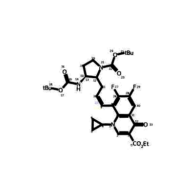 CCOC(=O)c1cn(C2CC2)c2c(/C=C\CC3[C@@H](NC(=O)OC(C)(C)C)CCN3C(=O)OC(C)(C)C)c(F)c(F)cc2c1=O